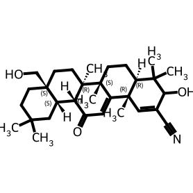 CC1(C)CC[C@]2(CO)CC[C@]3(C)[C@H](C(=O)C=C4[C@@]5(C)C=C(C#N)C(O)C(C)(C)[C@@H]5CC[C@]43C)[C@@H]2C1